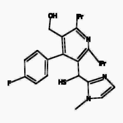 CC(C)c1nc(C(C)C)c(C(S)c2nccn2C)c(-c2ccc(F)cc2)c1CO